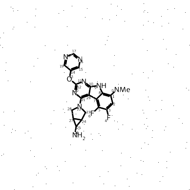 CNc1cc(F)c(F)c2c1[nH]c1nc(Oc3cncnc3)nc(N3CC4C(N)C4C3)c12